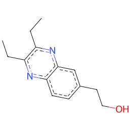 CCc1nc2ccc(CCO)cc2nc1CC